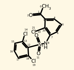 CC(=O)c1cccc(NS(=O)(=O)c2c(Cl)cccc2Cl)c1Cl